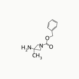 CC1(N)CN(C(=O)OCc2ccccc2)C1